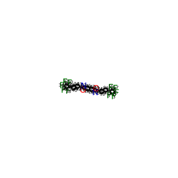 Fc1c(F)c(F)c(-c2ccc3cc(-c4nc5cc6cc7oc(-c8ccc9cc(-c%10c(F)c(F)c(F)c(F)c%10F)ccc9c8)nc7cc6cc5o4)ccc3c2)c(F)c1F